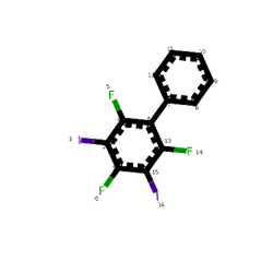 Fc1c(I)c(F)c(-c2ccccc2)c(F)c1I